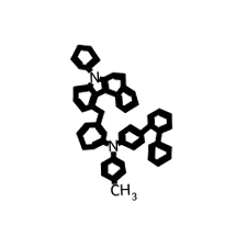 Cc1ccc(N(C2=CCC=CC(Cc3cccc4c3c3c5ccccc5ccc3n4C3=CCCC=C3)=C2)c2ccc(-c3ccccc3-c3ccccc3)cc2)cc1